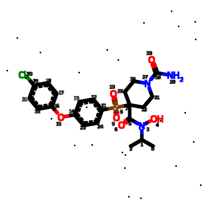 CC(C)N(O)C(=O)C1(S(=O)(=O)c2ccc(Oc3ccc(Cl)cc3)cc2)CCN(C(N)=O)CC1